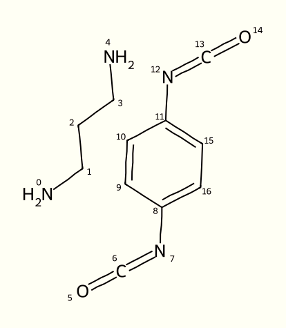 NCCCN.O=C=Nc1ccc(N=C=O)cc1